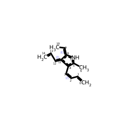 C=C/C=C\c1c(C)[nH]c(=C/C)/c1=C\C=C